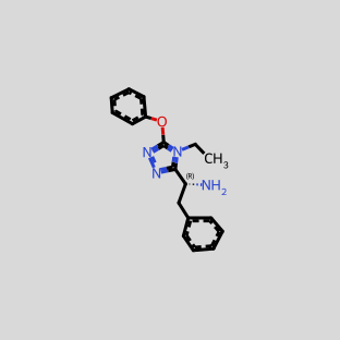 CCn1c(Oc2ccccc2)nnc1[C@H](N)Cc1ccccc1